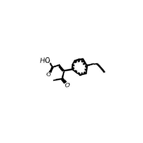 CCc1ccc(C(=CC(=O)O)C(C)=O)cc1